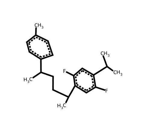 Cc1ccc(C(C)CCC(C)c2cc(F)c(C(C)C)cc2F)cc1